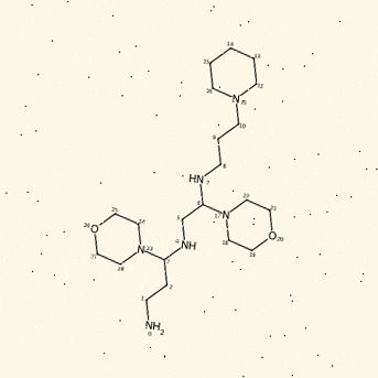 NCCC(NCC(NCCCN1CCCCC1)N1CCOCC1)N1CCOCC1